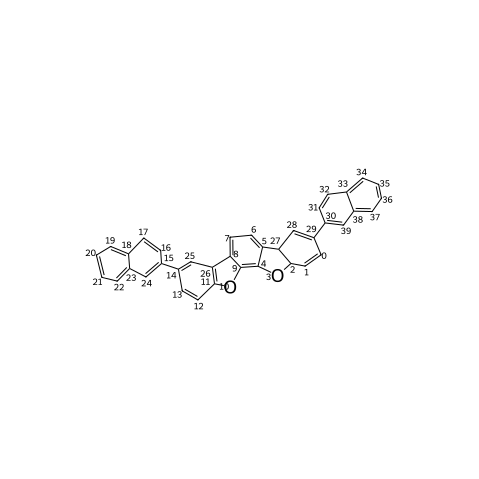 C1=CC2Oc3c(ccc4c3oc3ccc(-c5ccc6ccccc6c5)cc34)C2C=C1c1ccc2ccccc2c1